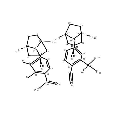 Cc1c(N2[C@@H]3CC[C@H]2C[C@@H](O)C3)ccc([N+](=O)[O-])c1C.N#Cc1ccc(N2[C@@H]3CC[C@H]2C[C@@H](O)C3)cc1C(F)(F)F